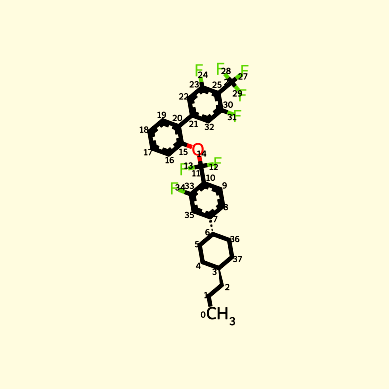 CCC[C@H]1CC[C@H](c2ccc(C(F)(F)Oc3ccccc3-c3cc(F)c(C(F)(F)F)c(F)c3)c(F)c2)CC1